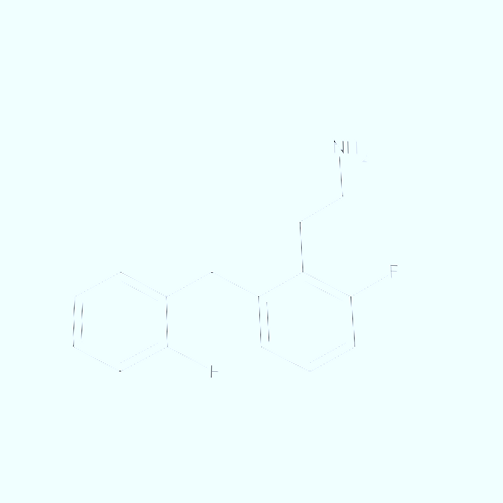 NCCc1c(F)cccc1Cc1ccccc1F